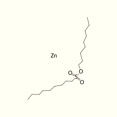 CCCCCCCCCOS(=O)(=O)CCCCCCCCC.[Zn]